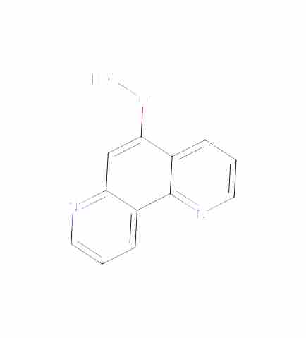 COc1cc2ncccc2c2ncccc12